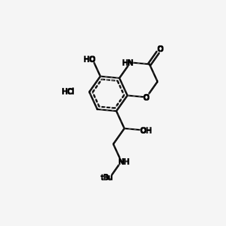 CC(C)(C)NCC(O)c1ccc(O)c2c1OCC(=O)N2.Cl